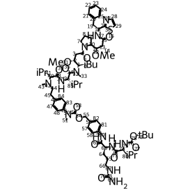 CC[C@H](C)[C@@H]([C@@H](CC(=O)N1CCCC1[C@H](OC)[C@@H](C)C(=O)N[C@@H](Cc1ccccc1)c1nccs1)OC)N(C)C(=O)[C@@H](NC(=O)[C@H](C(C)C)N(C)CCc1ccc(N(C)C(=O)OCc2ccc(NC(=O)[C@H](CCCNC(N)=O)NC(=O)[C@@H](NC(=O)OC(C)(C)C)C(C)C)cc2)cc1)C(C)C